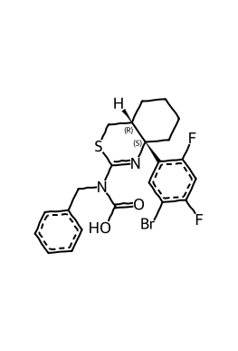 O=C(O)N(Cc1ccccc1)C1=N[C@@]2(c3cc(Br)c(F)cc3F)CCCC[C@H]2CS1